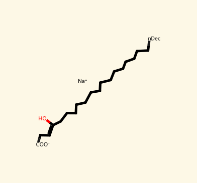 CCCCCCCCCCCCCCCCCCCCCCCCCC(O)=CCC(=O)[O-].[Na+]